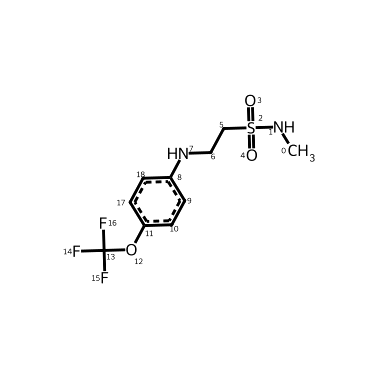 CNS(=O)(=O)CCNc1ccc(OC(F)(F)F)cc1